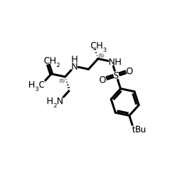 C=C(C)[C@@H](CN)NC[C@H](C)NS(=O)(=O)c1ccc(C(C)(C)C)cc1